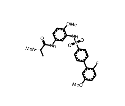 CN[C@@H](C)C(=O)Nc1ccc(OC)c(NS(=O)(=O)c2ccc(-c3cc(OC)ccc3F)cc2)c1